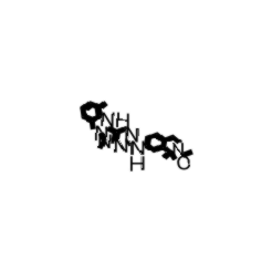 CC(=O)N1CCC2=CCC(Nc3ncc4c(Nc5c(C)cccc5C)nn(C)c4n3)C=C2C1(C)C